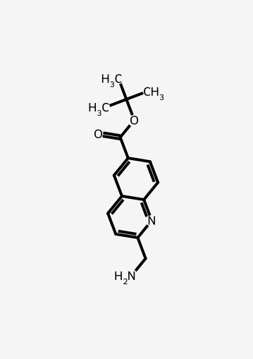 CC(C)(C)OC(=O)c1ccc2nc(CN)ccc2c1